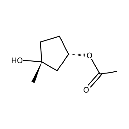 CC(=O)O[C@H]1CC[C@@](C)(O)C1